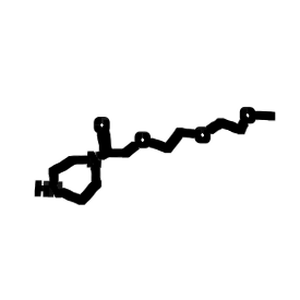 COCCOCCOCC(=O)N1CCNCC1